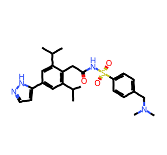 CC(C)c1cc(-c2ccn[nH]2)cc(C(C)C)c1CC(=O)NS(=O)(=O)c1ccc(CN(C)C)cc1